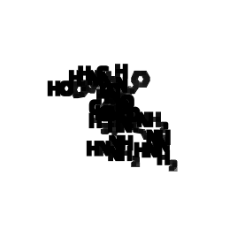 CC(C)C[C@H](NC(=O)[C@H](Cc1ccccc1)NC(=O)CN(C)C(=O)[C@@H](N)Cc1ccc(O)cc1)C(=O)N[C@@H](CCCNC(=N)N)C(=O)N[C@H](CCCNC(=N)N)C(N)=O